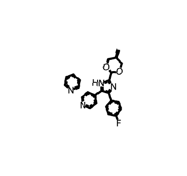 C=C1COC(c2nc(-c3ccc(F)cc3)c(-c3ccncc3)[nH]2)OC1.c1ccncc1